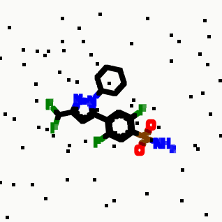 NS(=O)(=O)c1cc(F)c(-c2cc(C(F)F)nn2C2CCCCC2)cc1F